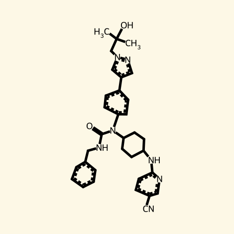 CC(C)(O)Cn1cc(-c2ccc(N(C(=O)NCc3ccccc3)C3CCC(Nc4ccc(C#N)cn4)CC3)cc2)cn1